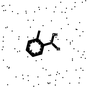 CCN(O)c1ccccc1C